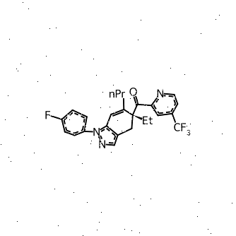 CCCC1=Cc2c(cnn2-c2ccc(F)cc2)C[C@@]1(CC)C(=O)c1cc(C(F)(F)F)ccn1